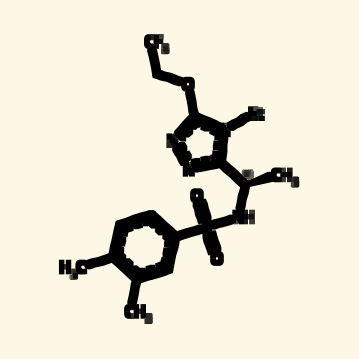 CCn1c(OCC(F)(F)F)nnc1[C@@H](C)NS(=O)(=O)c1ccc(C)c(C)c1